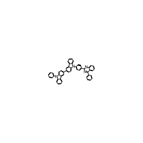 c1c(-c2nc(-c3ccccc3)c3ccccc3n2)ccc(-n2c3ccccc3c3cc(-c4ccc5c(c4)c4ccccc4n5-c4ccccc4)ccc32)c#1